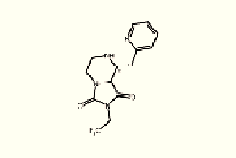 O=C1C2[C@@H](Cc3ccccn3)NCCN2C(=O)N1CC(F)(F)F